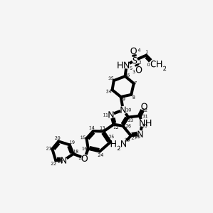 C=CS(=O)(=O)NC1CCC(n2nc(-c3ccc(Oc4ccccn4)cc3)c3c(N)n[nH]c(=O)c32)CC1